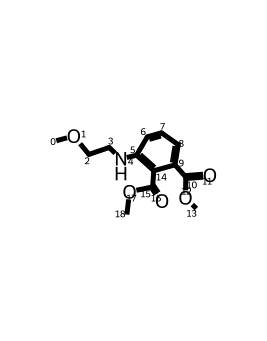 COCCNc1cccc(C(=O)OC)c1C(=O)OC